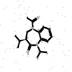 CC(=O)N1C[C@H](C(C)C)C(=O)N(C(C)C)c2ccccc21